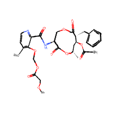 COc1ccnc(C(=O)N[C@H]2COC(=O)[C@H](Cc3ccccc3)[C@@H](OC(=O)C(C)C)[C@H](C)OC2=O)c1OCOC(=O)COC(C)C